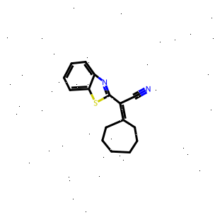 N#CC(=C1CCCCCC1)c1nc2ccccc2s1